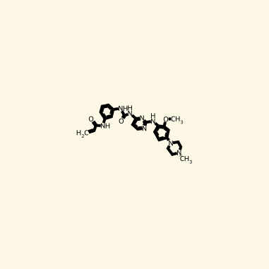 C=CC(=O)Nc1cccc(NC(=O)Nc2ccnc(Nc3ccc(N4CCN(C)CC4)cc3OC)n2)c1